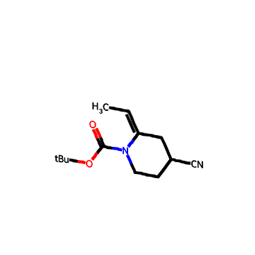 C/C=C1/CC(C#N)CCN1C(=O)OC(C)(C)C